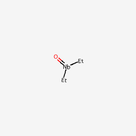 C[CH2][Nb](=[O])[CH2]C